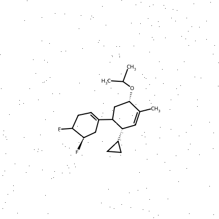 CC1=C[C@H](C2CC2)C(C2=CCC(F)[C@H](F)C2)C[C@@H]1OC(C)C